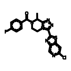 CC1c2nnc(-c3nc4cnc(Cl)cc4s3)n2CCN1C(=O)c1ccc(F)cc1